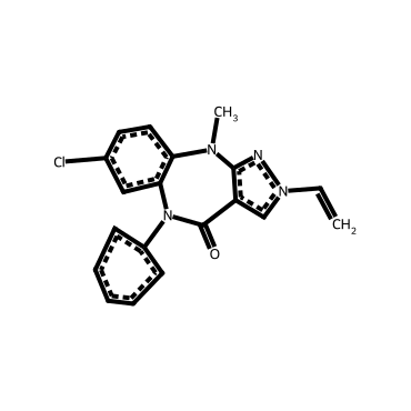 C=Cn1cc2c(n1)N(C)c1ccc(Cl)cc1N(c1ccccc1)C2=O